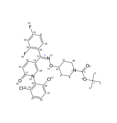 CC(C)(C)OC(=O)N1CCC(O/N=C(\c2ccc(=O)n(-c3c(Cl)cccc3Cl)c2)c2ccc(F)cc2F)CC1